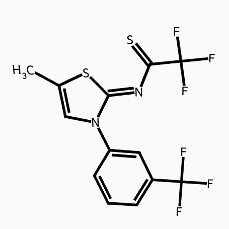 Cc1cn(-c2cccc(C(F)(F)F)c2)c(=NC(=S)C(F)(F)F)s1